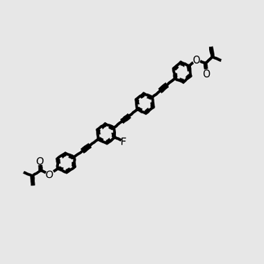 C=C(C)C(=O)Oc1ccc(C#Cc2ccc(C#Cc3ccc(C#Cc4ccc(OC(=O)C(=C)C)cc4)cc3F)cc2)cc1